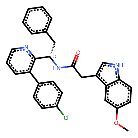 COc1ccc2[nH]cc(CC(=O)N[C@@H](Cc3ccccc3)c3ncccc3-c3ccc(Cl)cc3)c2c1